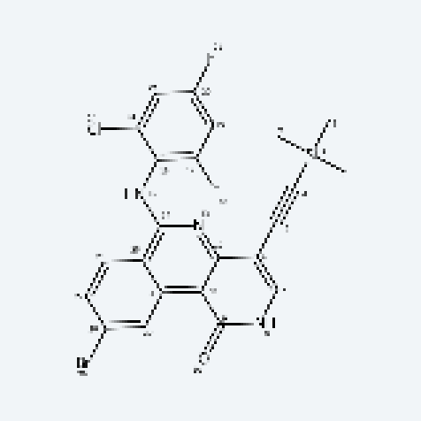 C[Si](C)(C)C#Cc1c[nH]c(=O)c2c1nc(Nc1c(F)cc(F)cc1Cl)c1ccc(Br)cc12